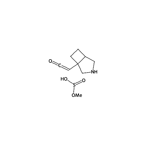 COS(=O)O.O=C=CC12CCC1CNC2